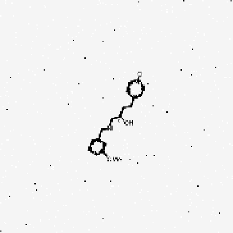 COc1cccc(CNC[C@H](O)[CH]Cc2ccc(Cl)cc2)c1